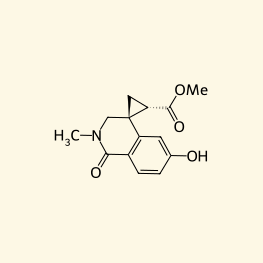 COC(=O)[C@H]1C[C@@]12CN(C)C(=O)c1ccc(O)cc12